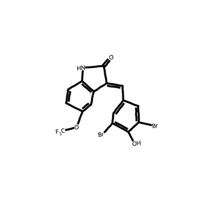 O=C1Nc2ccc(OC(F)(F)F)cc2C1=Cc1cc(Br)c(O)c(Br)c1